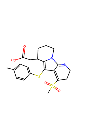 Cc1ccc(Sc2c3n(c4c2=C(S(C)(=O)=O)CCN=4)CCCC3CC(=O)O)cc1